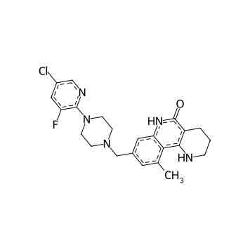 Cc1cc(CN2CCN(c3ncc(Cl)cc3F)CC2)cc2[nH]c(=O)c3c(c12)NCCC3